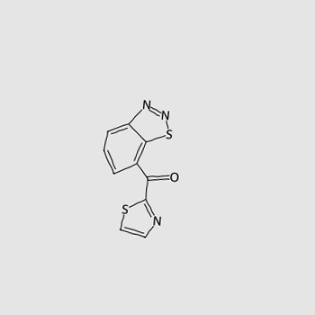 O=C(c1nccs1)c1cccc2nnsc12